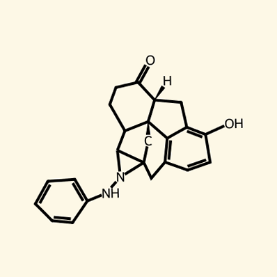 O=C1CCC2C3N(Nc4ccccc4)C34Cc3ccc(O)c5c3[C@@]2(C4)[C@H]1C5